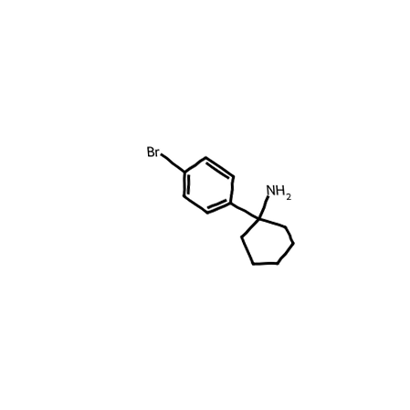 NC1(c2ccc(Br)cc2)CCCCC1